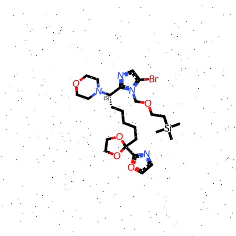 C[Si](C)(C)CCOCn1c(Br)cnc1[C@H](CCCCCC1(c2ncco2)OCCO1)N1CCOCC1